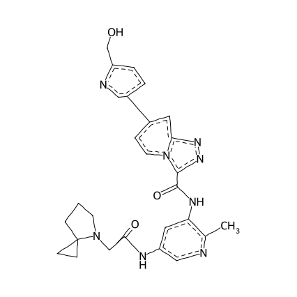 Cc1ncc(NC(=O)CN2CCCC23CC3)cc1NC(=O)c1nnc2cc(-c3ccc(CO)nc3)ccn12